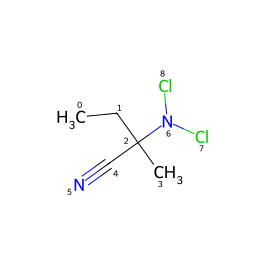 CCC(C)(C#N)N(Cl)Cl